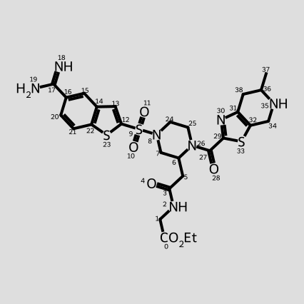 CCOC(=O)CNC(=O)CC1CN(S(=O)(=O)c2cc3cc(C(=N)N)ccc3s2)CCN1C(=O)c1nc2c(s1)CNC(C)C2